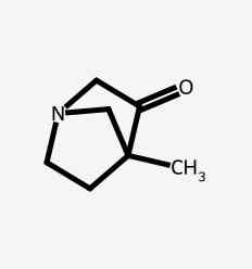 CC12CCN(CC1=O)C2